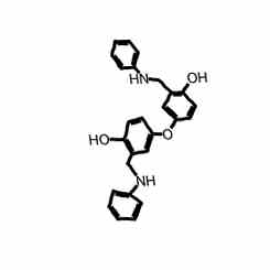 Oc1ccc(Oc2ccc(O)c(CNc3ccccc3)c2)cc1CNc1ccccc1